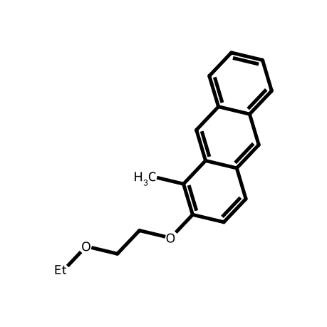 CCOCCOc1ccc2cc3ccccc3cc2c1C